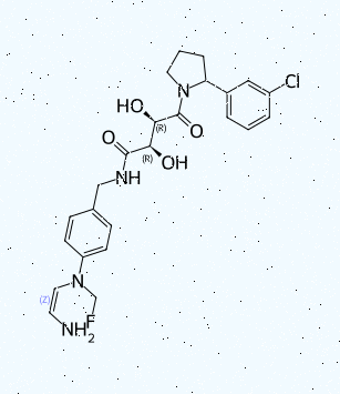 N/C=C\N(CF)c1ccc(CNC(=O)[C@H](O)[C@@H](O)C(=O)N2CCCC2c2cccc(Cl)c2)cc1